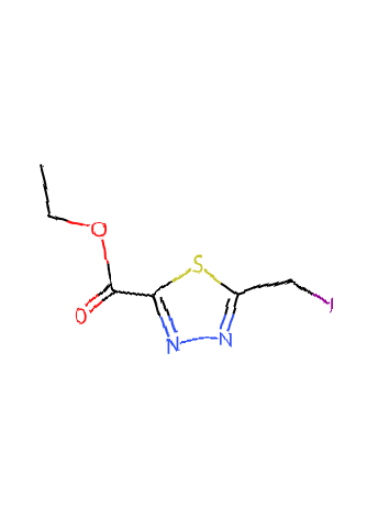 CCOC(=O)c1nnc(CI)s1